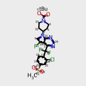 CC(C)(C)OC(=O)N1CCC(n2cc(F)c3c(C(F)(F)c4ccc(S(C)(=O)=O)cc4Cl)ncnc32)CC1